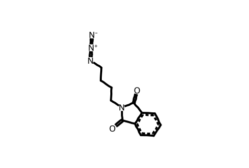 [N-]=[N+]=NCCCCN1C(=O)c2ccccc2C1=O